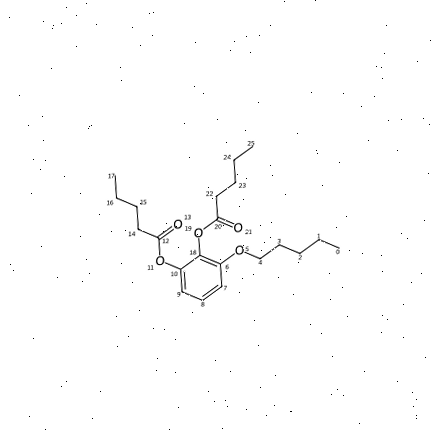 CCCCCOc1cccc(OC(=O)CCCC)c1OC(=O)CCCC